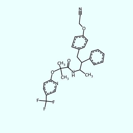 CC(NC(=O)C(C)(C)Oc1ccc(C(F)(F)F)cn1)C(Cc1ccc(OCC#N)cc1)c1ccccc1